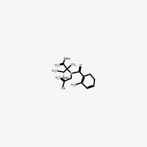 C=C(C#N)CN(C(=O)C1=C(N)C=CCC1)C(C)(C(=C)NC)[C@@H](C)NC